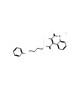 Cn1c(=O)c(O)c(C(=O)NCCCCOc2ccccc2)c2ccccc21